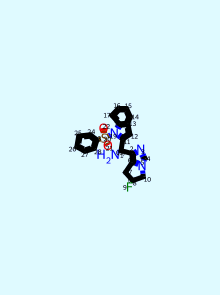 N[C@@H](c1ncn2c1C[C@@H](F)C2)c1cc2ccccc2n1S(=O)(=O)c1ccccc1